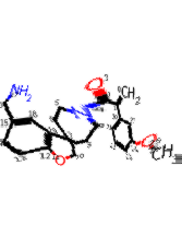 C=C(C(=O)N1CCC2(CC1)COc1ccc(CN)cc12)c1cccc(OC)c1